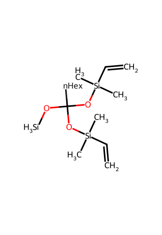 C=C[Si](C)(C)OC(CCCCCC)(O[SiH3])O[Si](C)(C)C=C